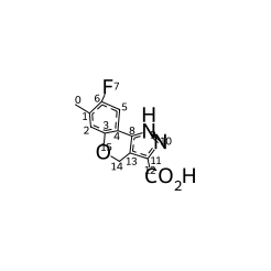 Cc1cc2c(cc1F)-c1[nH]nc(C(=O)O)c1CO2